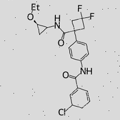 CCO[C@@H]1CC1NC(=O)C1(c2ccc(NC(=O)C3=CC(Cl)CC=C3)cc2)CC(F)(F)C1